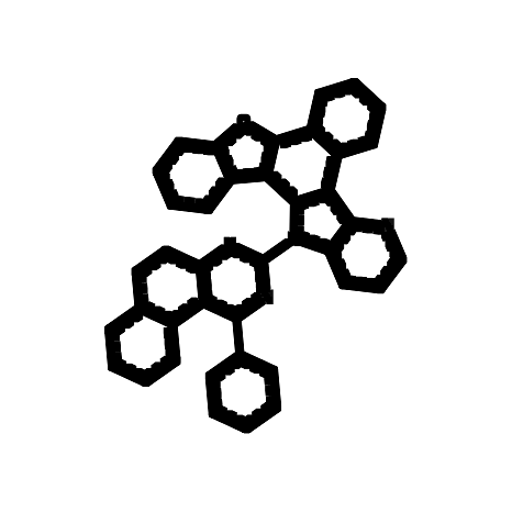 c1ccc(-c2nc(-n3c4cccnc4c4c5ccccc5c5oc6ccccc6c5c43)nc3ccc4ccccc4c23)cc1